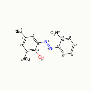 CCCCc1cc(C(C)(C)C)cc(N=Nc2ccccc2[N+](=O)[O-])c1O